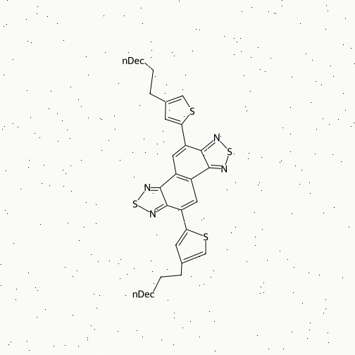 CCCCCCCCCCCCc1csc(-c2cc3c(cc(-c4cc(CCCCCCCCCCCC)cs4)c4nsnc43)c3nsnc23)c1